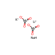 [K+].[Li+].[NaH].[O]=[Nb](=[O])[O-].[O]=[Nb](=[O])[O-]